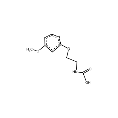 COc1ccnc(OCCNC(=O)O)c1